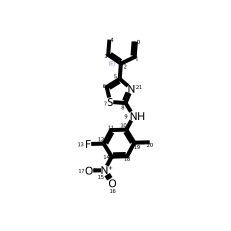 C=C/C(=C\C)c1csc(Nc2cc(F)c([N+](=O)[O-])cc2C)n1